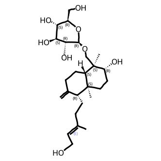 C=C1CC[C@@H]2[C@@](C)(CO[C@@H]3O[C@H](CO)[C@@H](O)[C@H](O)[C@H]3O)[C@H](O)CC[C@@]2(C)[C@@H]1CC/C(C)=C/CO